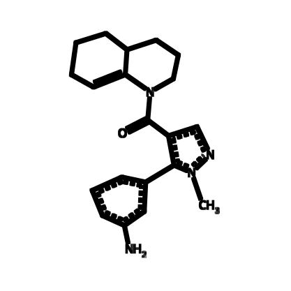 Cn1ncc(C(=O)N2CCCC3CCCC=C32)c1-c1cccc(N)c1